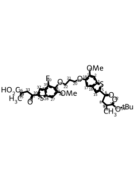 COc1cc2sc(C(=O)C[C@H](C)C(=O)OC(C)(C)C)cc2cc1OCCCOc1c(OC)cc2sc(C(=O)C[C@H](C)C(=O)O)cc2c1F